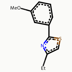 CCc1csc(-c2cccc(OC)c2)n1